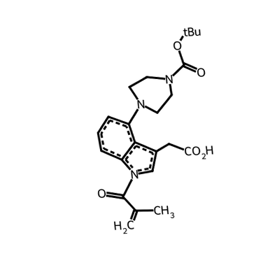 C=C(C)C(=O)n1cc(CC(=O)O)c2c(N3CCN(C(=O)OC(C)(C)C)CC3)cccc21